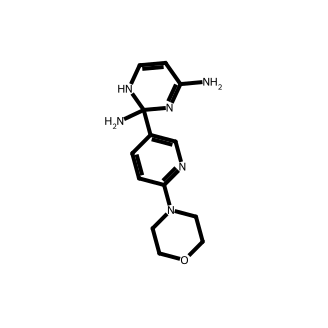 NC1=NC(N)(c2ccc(N3CCOCC3)nc2)NC=C1